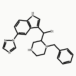 CCC(c1c[nH]c2ccc(-n3cncn3)cc12)C1CNCCN1Cc1ccccc1